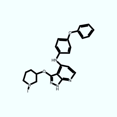 IN1CCCC(Oc2n[nH]c3nccc(Nc4ccc(Oc5ccccc5)cc4)c23)C1